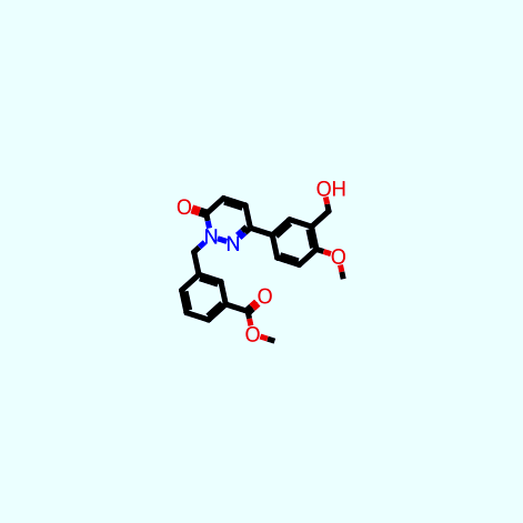 COC(=O)c1cccc(Cn2nc(-c3ccc(OC)c(CO)c3)ccc2=O)c1